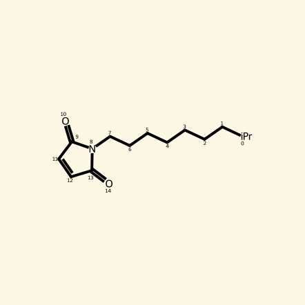 CC(C)CCCCCCCN1C(=O)C=CC1=O